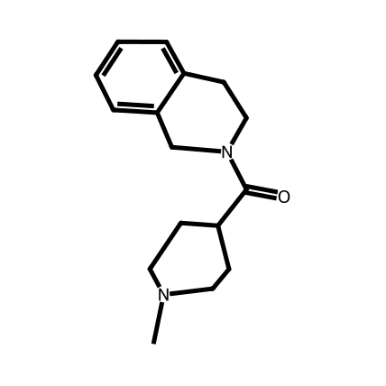 CN1CCC(C(=O)N2CCc3ccccc3C2)CC1